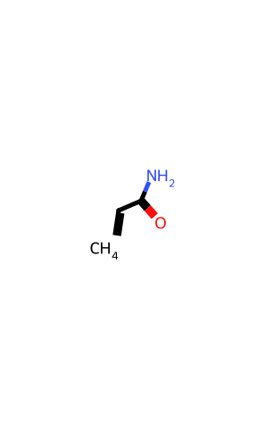 C.C=CC(N)=O